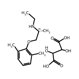 CCN[C@H](C)COc1c(C)cccc1C.O=C(O)C(O)C(O)C(=O)O